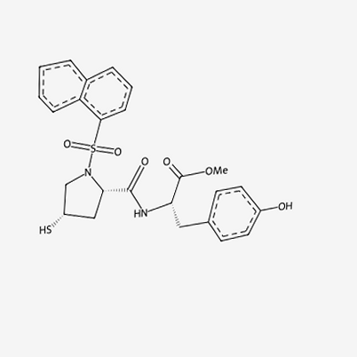 COC(=O)[C@H](Cc1ccc(O)cc1)NC(=O)[C@@H]1C[C@H](S)CN1S(=O)(=O)c1cccc2ccccc12